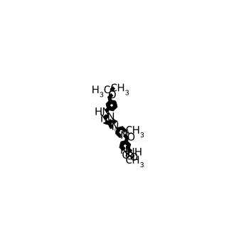 CC(C)OCc1cccc(Nc2ncc3c(n2)CN([C@H]2CCN(C(=O)c4ccnc(NS(C)(=O)=O)c4)[C@H](C)C2)C3)c1